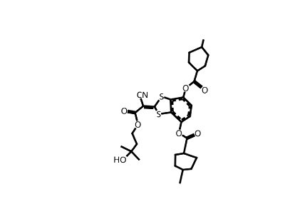 CC1CCC(C(=O)Oc2ccc(OC(=O)C3CCC(C)CC3)c3c2SC(=C(C#N)C(=O)OCCC(C)(C)O)S3)CC1